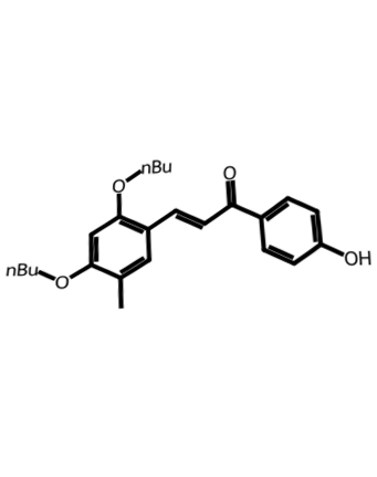 CCCCOc1cc(OCCCC)c(C=CC(=O)c2ccc(O)cc2)cc1C